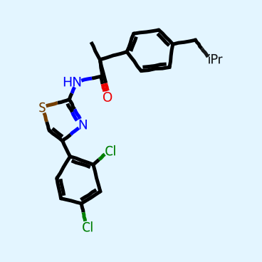 CC(C)Cc1ccc(C(C)C(=O)Nc2nc(-c3ccc(Cl)cc3Cl)cs2)cc1